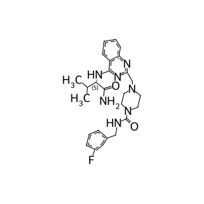 CC(C)[C@H](Nc1nc(CN2CCN(C(=O)NCc3cccc(F)c3)CC2)nc2ccccc12)C(N)=O